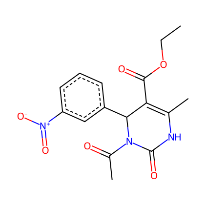 CCOC(=O)C1=C(C)NC(=O)N(C(C)=O)C1c1cccc([N+](=O)[O-])c1